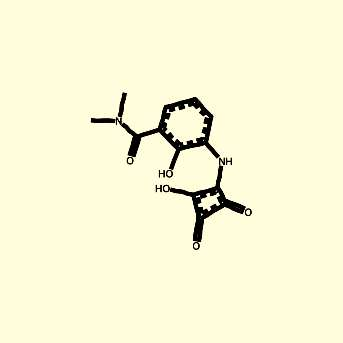 CN(C)C(=O)c1cccc(Nc2c(O)c(=O)c2=O)c1O